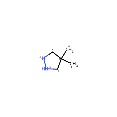 CC1(C)C[N]NC1